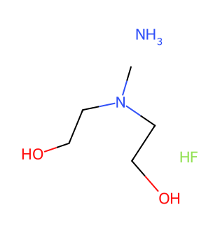 CN(CCO)CCO.F.N